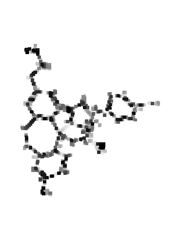 CONCc1ccc2c(c1)CCc1cc(C)ccc1C2(C[C@@H](C)N)c1nnc(-c2ccc(F)cc2)[nH]1